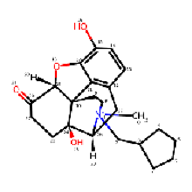 C[N+]1(CC2CCCC2)CC[C@]23c4c5ccc(O)c4O[C@H]2C(=O)CC[C@@]3(O)[C@H]1C5